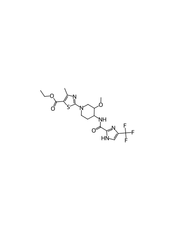 CCOC(=O)c1sc(N2CCC(NC(=O)c3nc(C(F)(F)F)c[nH]3)C(OC)C2)nc1C